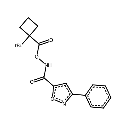 CC(C)(C)C1(C(=O)ONC(=O)c2cc(-c3ccccc3)no2)CCC1